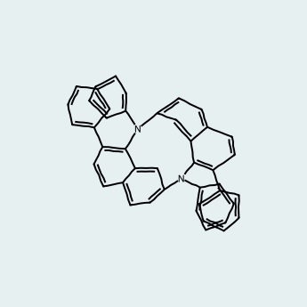 c1ccc(-c2ccc3ccc4cc3c2n(-c2ccccc2)c2ccc3ccc(-c5ccccc5)c(c3c2)n4-c2ccccc2)cc1